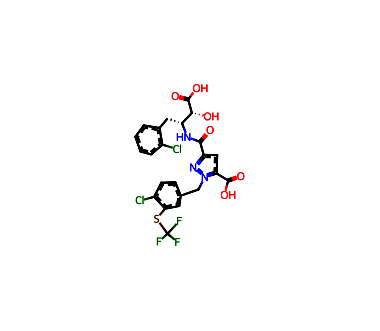 O=C(N[C@H](Cc1ccccc1Cl)[C@@H](O)C(=O)O)c1cc(C(=O)O)n(Cc2ccc(Cl)c(SC(F)(F)F)c2)n1